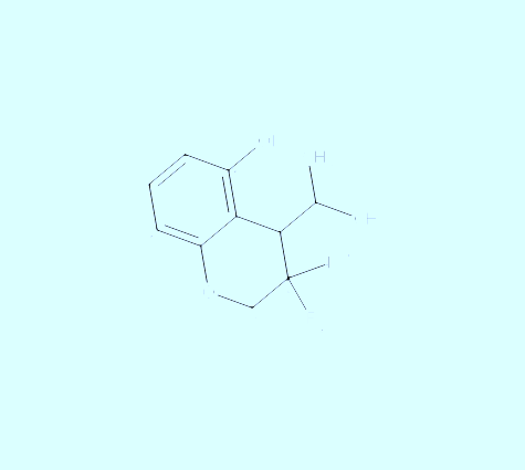 CC(C)C1c2c(O)cccc2OCC1(F)F